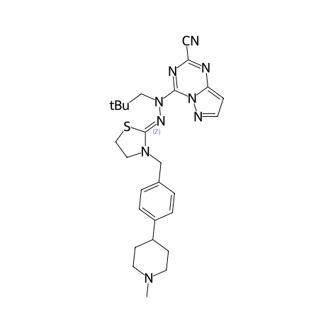 CN1CCC(c2ccc(CN3CCS/C3=N\N(CC(C)(C)C)c3nc(C#N)nc4ccnn34)cc2)CC1